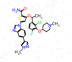 CC(Oc1cc(-n2cnc3cc(-c4cnn(C)c4)ccc32)sc1C(N)=O)c1ccc(F)c(OC2CCN(C)CC2)c1Cl